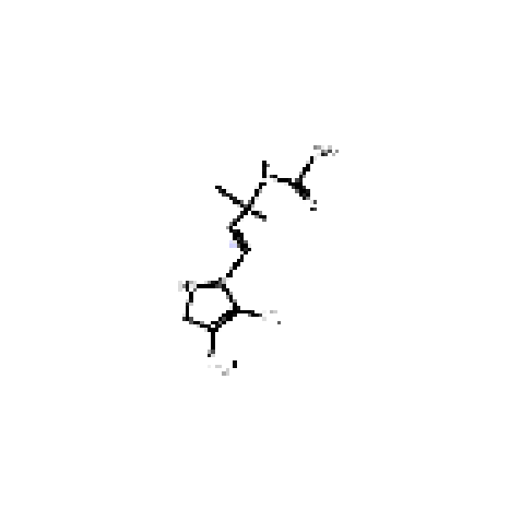 COC(=O)NC(C)(C)/C=C/N1NCC(C(=O)O)=C1C(F)(F)F